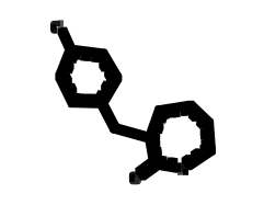 O=c1nccccc1Cc1ccc(Cl)cc1